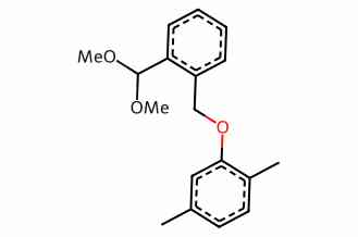 COC(OC)c1ccccc1COc1cc(C)ccc1C